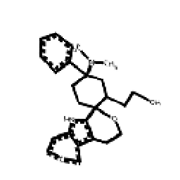 CN(C)C1(c2ccccc2)CCC2(OCCc3c2[nH]c2ccccc32)C(CCO)C1